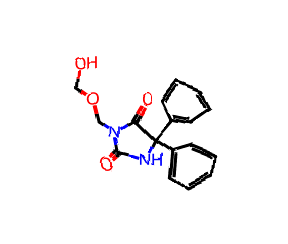 O=C1NC(c2ccccc2)(c2ccccc2)C(=O)N1COCO